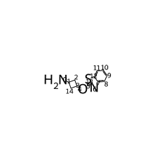 N[C@H]1C[C@H](Oc2nc3ccccc3s2)C1